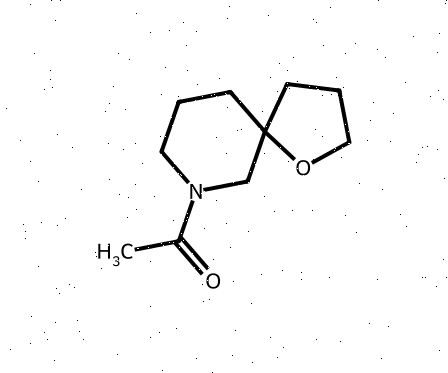 CC(=O)N1CCCC2(CCCO2)C1